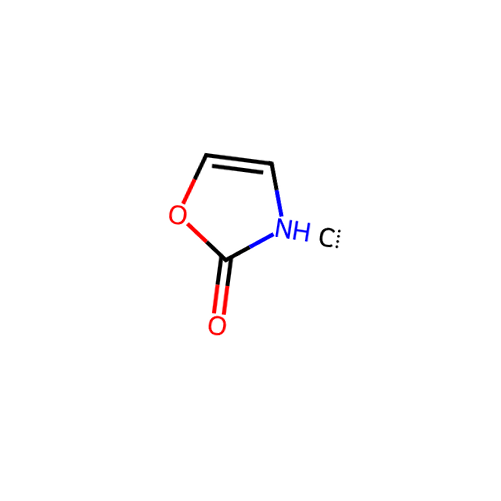 O=c1[nH]cco1.[C]